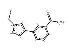 COC(=O)c1cccc(-c2cnn(CF)c2)c1